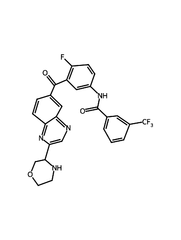 O=C(Nc1ccc(F)c(C(=O)c2ccc3nc(C4COCCN4)cnc3c2)c1)c1cccc(C(F)(F)F)c1